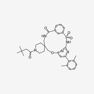 Cc1cccc(C)c1-c1cc2nc(n1)NS(=O)(=O)c1cccc(c1)C(=O)NCC1(CCN(C(=O)CC(C)(C)C)CC1)CO2